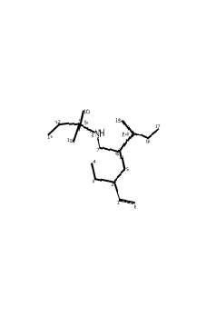 CCC(CC)CC(CNC(C)(C)CC)C(C)CC